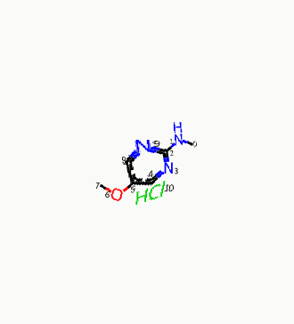 CNc1ncc(OC)cn1.Cl